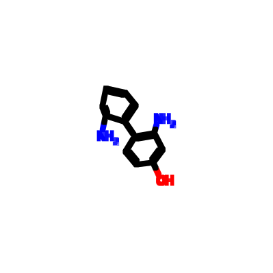 Nc1ccccc1-c1ccc(O)cc1N